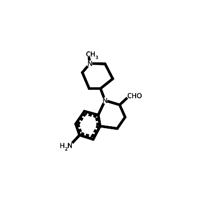 CN1CCC(N2c3ccc(N)cc3CCC2C=O)CC1